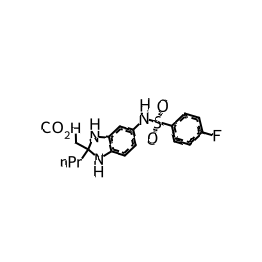 CCCC1(CC(=O)O)Nc2ccc(NS(=O)(=O)c3ccc(F)cc3)cc2N1